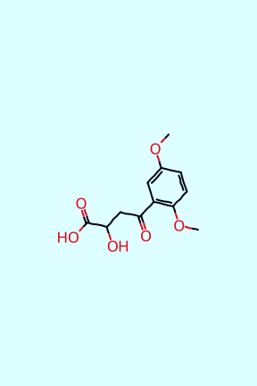 COc1ccc(OC)c(C(=O)CC(O)C(=O)O)c1